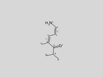 C/C(=C/C=C\N)C(=O)C(C)C